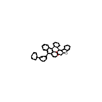 c1ccc(-c2cccc(-c3c4ccccc4c(-c4ccccc4-c4cccc5oc6ccccc6c45)c4ccccc34)c2)cc1